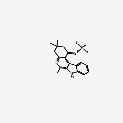 Cc1[o+]c2c(c3c1[nH]c1ccccc13)C(=O)CC(C)(C)C2.F[B-](F)(F)F